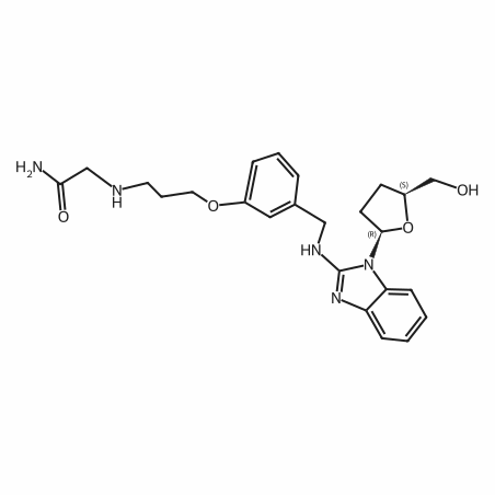 NC(=O)CNCCCOc1cccc(CNc2nc3ccccc3n2[C@H]2CC[C@@H](CO)O2)c1